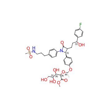 COC(=O)[C@H](O[C@@H](C)Oc1ccc([C@@H]2C(CC[C@H](O)c3ccc(F)cc3)C(=O)N2c2ccc(CCCNS(C)(=O)=O)cc2)cc1)[C@H](O)[C@@H](O)CO